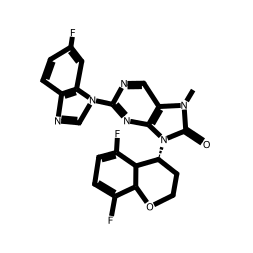 Cn1c(=O)n([C@@H]2CCOC3C(F)=CC=C(F)C32)c2nc(-n3cnc4ccc(F)cc43)ncc21